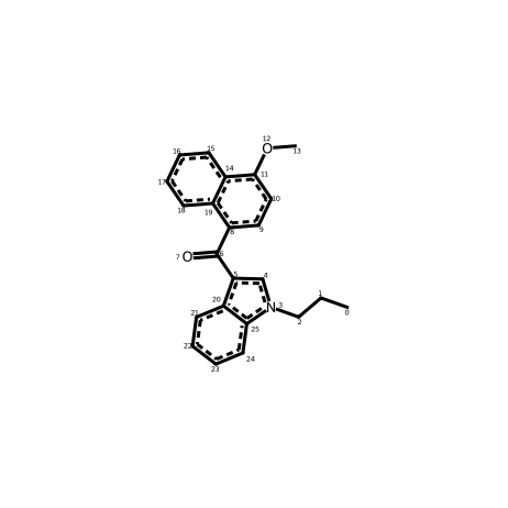 CCCn1cc(C(=O)c2ccc(OC)c3ccccc23)c2ccccc21